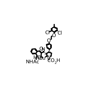 CC(=O)NCCc1ccccc1-c1onc([C@H]2C(C(C)(C)C)N(C(=O)O)CC[C@@H]2c2ccc(OCCOc3c(Cl)cc(C)cc3Cl)cc2)c1C(C)O